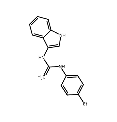 C=C(Nc1ccc(CC)cc1)Nc1c[nH]c2ccccc12